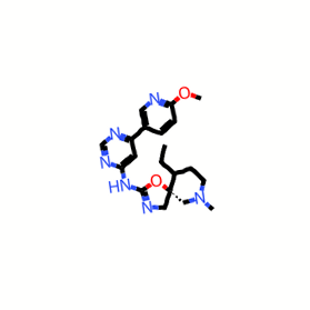 CCC1CCN(C)C[C@@]12CN=C(Nc1cc(-c3ccc(OC)nc3)ncn1)O2